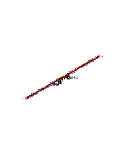 O=Cc1ccc(CCSCCc2ccc(C=O)cc2)cc1.OCCOCCOCCOCCOCCOCCOCCOCCOCCOCCOCCOCCOCCOCCOCCOCCOCCOCCOCCOCCOCCOCCOCCO